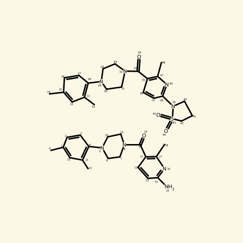 Cc1ccc(N2CCN(C(=O)c3ccc(N)nc3C)CC2)c(C)c1.Cc1ccc(N2CCN(C(=O)c3ccc(N4CCCS4(=O)=O)nc3C)CC2)c(C)c1